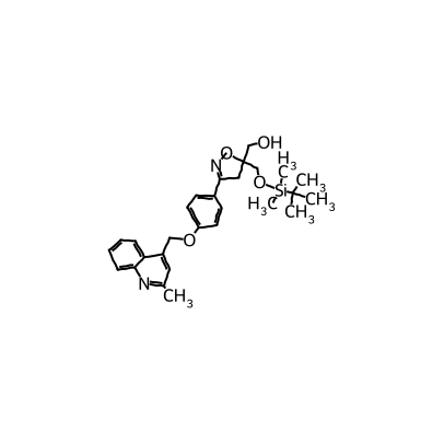 Cc1cc(COc2ccc(C3=NOC(CO)(CO[Si](C)(C)C(C)(C)C)C3)cc2)c2ccccc2n1